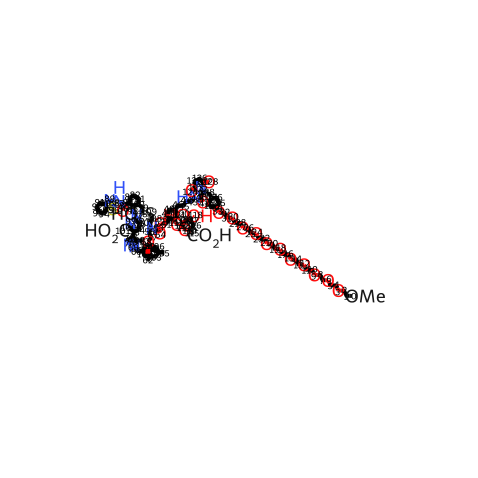 COCCOCCOCCOCCOCCOCCOCCOCCOCCOCCOCCOc1ccc(C[C@@H](C(=O)NCCCCc2ccc(COC(=O)N(CCOC34CC5(C)CC(C)(CC(Cn6ncc(-c7ccc(N8CCc9cccc(C(=O)Nc%10nc%11ccccc%11s%10)c9C8)nc7C(=O)O)c6C)(C5)C3)C4)CCS(=O)(=O)O)c(O[C@@H]3OC(C(=O)O)C[C@H](O)[C@H]3O)c2)N2C(=O)C=CC2=O)cc1